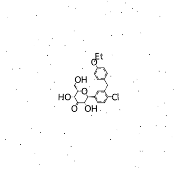 CCOc1ccc(Cc2cc([C@@H]3O[C@H](CO)[C@@H](O)C(=O)[C@H]3O)ccc2Cl)cc1